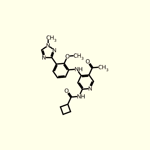 COc1c(Nc2cc(NC(=O)C3CCC3)ncc2C(C)=O)cccc1-c1ncn(C)n1